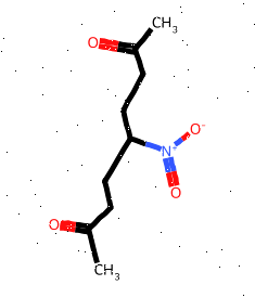 CC(=O)CCC(CCC(C)=O)[N+](=O)[O-]